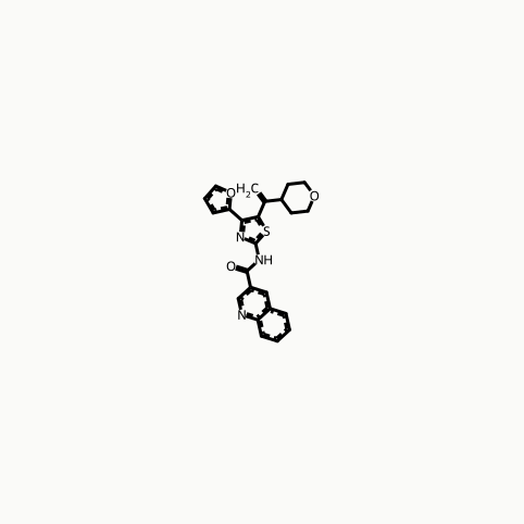 C=C(c1sc(NC(=O)c2cnc3ccccc3c2)nc1-c1ccco1)C1CCOCC1